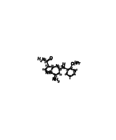 CC(C)Oc1ncccc1Nc1cc(N)n2ncc(C(N)=O)c2n1